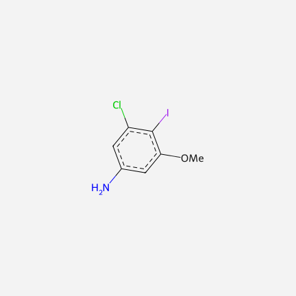 COc1cc(N)cc(Cl)c1I